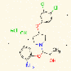 CC(O)C(Oc1ccccc1N)N1CCC(Oc2ccc(Cl)c(Cl)c2)CC1.Cl.Cl